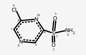 NS(=O)(=O)c1cncc(Cl)n1